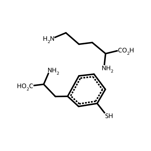 NC(Cc1cccc(S)c1)C(=O)O.NCCCC(N)C(=O)O